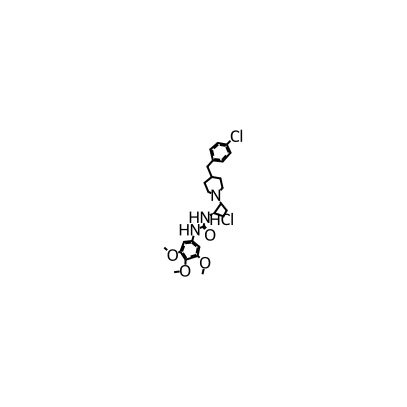 COc1cc(NC(=O)N[C@@H]2CC[C@H]2N2CCC(Cc3ccc(Cl)cc3)CC2)cc(OC)c1OC.Cl